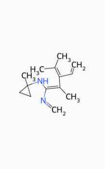 C=CC(=C(C)C)/C(C)=C(/N=C)NC1(C)CC1